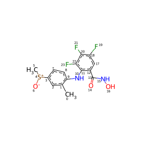 Cc1cc([S+](C)[O-])ccc1Nc1c(C(=O)NO)cc(F)c(F)c1F